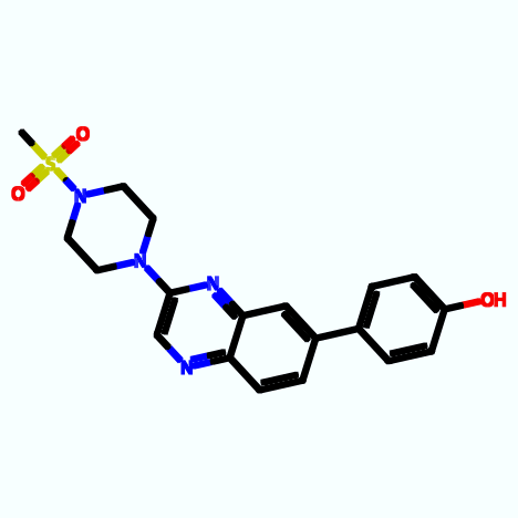 CS(=O)(=O)N1CCN(c2cnc3ccc(-c4ccc(O)cc4)cc3n2)CC1